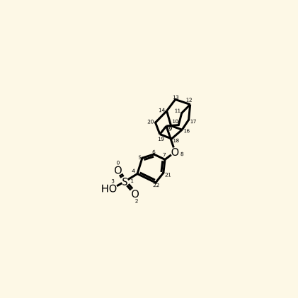 O=S(=O)(O)c1ccc(OC2CCC3CC4CC(C3)CC2C4)cc1